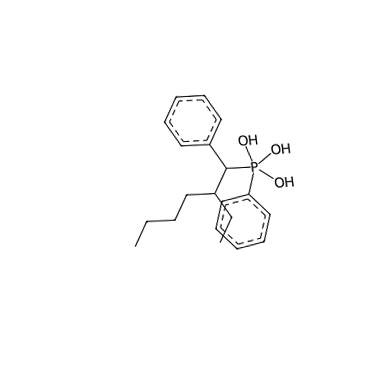 CCCCC(CC)C(c1ccccc1)P(O)(O)(O)c1ccccc1